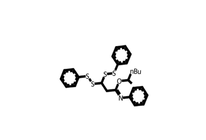 CCCCC(C)O/C(CC(SSc1ccccc1)SSc1ccccc1)=N\c1ccccc1